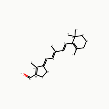 CC1=C(/C=C/C(C)=C/C=C2\CCC(C=O)=C2C)C(C)(C)CCC1